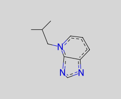 CC(C)Cn1cccc2ncnc1-2